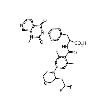 Cc1cc(N2CCOCC2CC(F)F)cc(F)c1C(=O)NC(Cc1ccc(-n2c(=O)c3ccncc3n(C)c2=O)nc1)C(=O)O